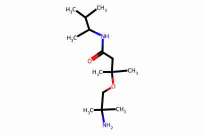 CC(C)C(C)NC(=O)CC(C)(C)OCC(C)(C)N